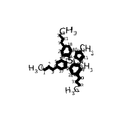 CCCCc1ccc([Si]([C]2C=C(C)C=C2C)(c2ccc(CCCC)cc2)c2ccc(CCCC)cc2)cc1